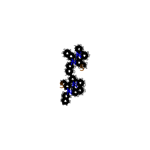 c1ccc2cc(N3c4cc5sccc5c5c4B(c4c3ccc3ccccc43)n3c4ccccc4c4cc(-c6ccc7ccc(N8c9cc%10ccccc%10cc9B9c%10c8cc8sccc8c%10-c8cccc%10c%11ccccc%11n9c8%10)cc7c6)cc-5c43)ccc2c1